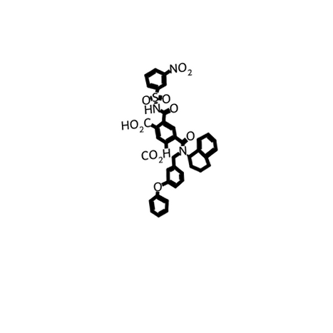 O=C(O)c1cc(C(=O)O)c(C(=O)N(Cc2cccc(Oc3ccccc3)c2)[C@H]2CCCc3ccccc32)cc1C(=O)NS(=O)(=O)c1cccc([N+](=O)[O-])c1